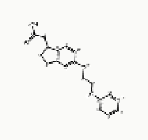 O=C(O)C[C@@H]1CCc2cc(OCCOc3cccnc3)ccc21